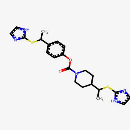 CC(Sc1ncc[nH]1)c1ccc(OC(=O)N2CCC(C(C)Sc3ncc[nH]3)CC2)cc1